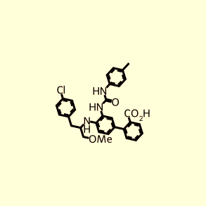 COCC(Cc1ccc(Cl)cc1)Nc1ccc(-c2ccccc2C(=O)O)cc1NC(=O)Nc1ccc(C)cc1